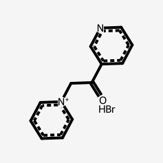 Br.O=C(C[n+]1ccccc1)c1cccnc1